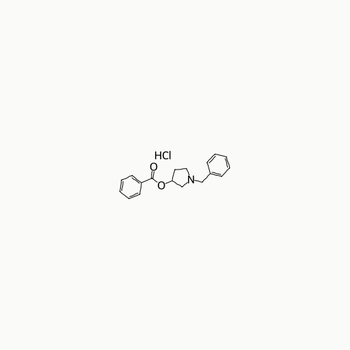 Cl.O=C(OC1CCN(Cc2ccccc2)C1)c1ccccc1